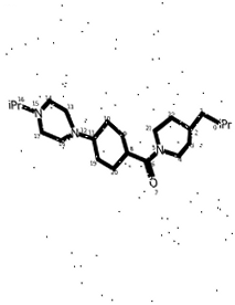 CC(C)CC1CCN(C(=O)C2CCC(N3CCN(C(C)C)CC3)CC2)CC1